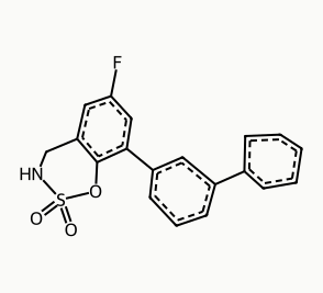 O=S1(=O)NCc2cc(F)cc(-c3cccc(-c4ccccc4)c3)c2O1